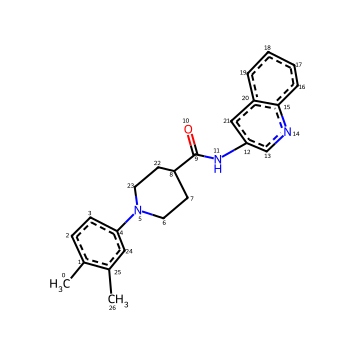 Cc1ccc(N2CCC(C(=O)Nc3cnc4ccccc4c3)CC2)cc1C